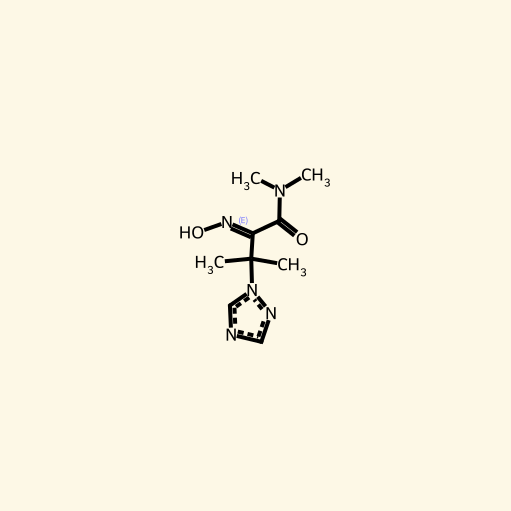 CN(C)C(=O)/C(=N/O)C(C)(C)n1cncn1